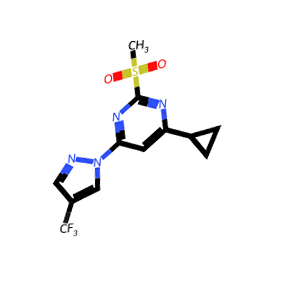 CS(=O)(=O)c1nc(C2CC2)cc(-n2cc(C(F)(F)F)cn2)n1